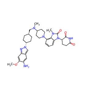 COc1cc2nn([C@H]3CC[C@H](CN(C)C4CCN(c5cccc6c5n(C)c(=O)n6C5CCC(=O)NC5=O)CC4)CC3)cc2cc1N